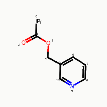 CC(C)C(=O)OCc1cccnc1